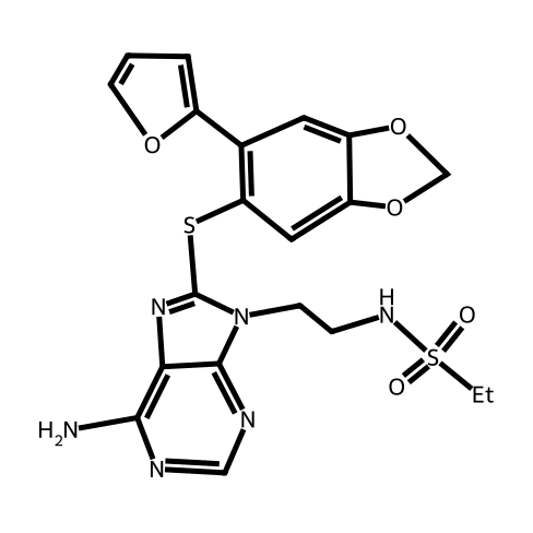 CCS(=O)(=O)NCCn1c(Sc2cc3c(cc2-c2ccco2)OCO3)nc2c(N)ncnc21